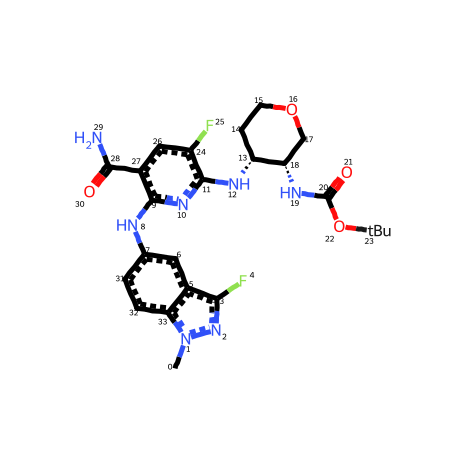 Cn1nc(F)c2cc(Nc3nc(N[C@@H]4CCOC[C@@H]4NC(=O)OC(C)(C)C)c(F)cc3C(N)=O)ccc21